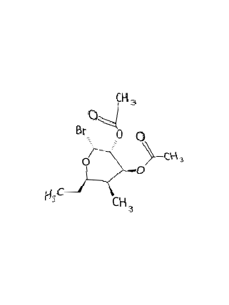 CC[C@H]1O[C@H](Br)[C@H](OC(C)=O)[C@@H](OC(C)=O)[C@H]1C